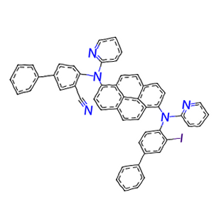 N#Cc1cc(-c2ccccc2)ccc1N(c1ccccn1)c1ccc2ccc3c(N(c4ccccn4)c4ccc(-c5ccccc5)cc4I)ccc4ccc1c2c43